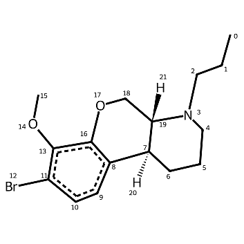 CCCN1CCC[C@H]2c3ccc(Br)c(OC)c3OC[C@@H]21